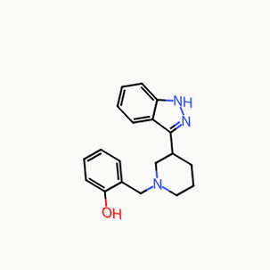 Oc1ccccc1CN1CCCC(c2n[nH]c3ccccc23)C1